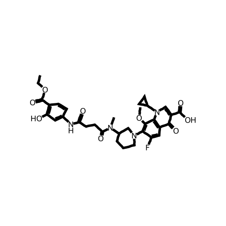 CCOC(=O)c1ccc(NC(=O)CCC(=O)N(C)C2CCCN(c3c(F)cc4c(=O)c(C(=O)O)cn(C5CC5)c4c3OC)C2)cc1O